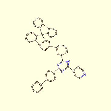 c1ccc(-c2ccc(-c3nc(-c4ccncc4)nc(-c4cccc(-c5ccc6c(c5)C5(c7ccccc7-c7ccccc75)c5ccccc5-6)c4)n3)cc2)cc1